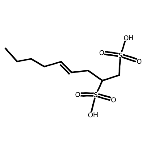 CCCC/C=C/CC(CS(=O)(=O)O)S(=O)(=O)O